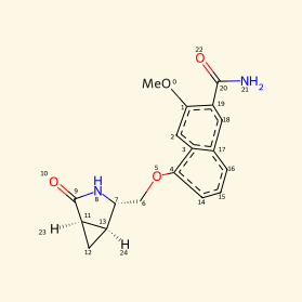 COc1cc2c(OC[C@H]3NC(=O)[C@@H]4C[C@H]34)cccc2cc1C(N)=O